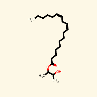 CCCCC/C=C\C/C=C\CCCCCCCC(=O)OC(C)C(C)O